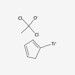 CC([O-])(Cl)Cl.[Ti+][C]1=CC=CC1